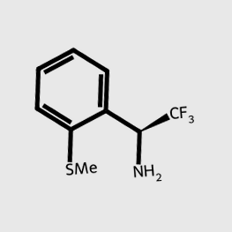 CSc1ccccc1[C@H](N)C(F)(F)F